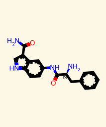 NC(=O)c1c[nH]c2ccc(NC(=O)[C@@H](N)Cc3ccccc3)cc12